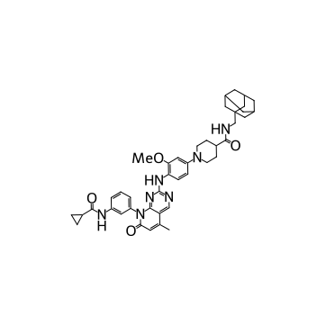 COc1cc(N2CCC(C(=O)NCC34CC5CC(CC(C5)C3)C4)CC2)ccc1Nc1ncc2c(C)cc(=O)n(-c3cccc(NC(=O)C4CC4)c3)c2n1